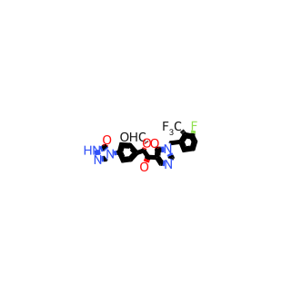 O=COC(C(=O)c1cncn(Cc2cccc(F)c2C(F)(F)F)c1=O)c1ccc(-n2cn[nH]c2=O)cc1